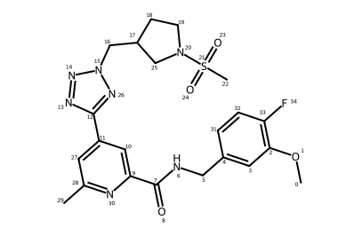 COc1cc(CNC(=O)c2cc(-c3nnn(CC4CCN(S(C)(=O)=O)C4)n3)cc(C)n2)ccc1F